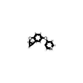 c1cc(Oc2ccc3c(c2)C2CC2O3)ccn1